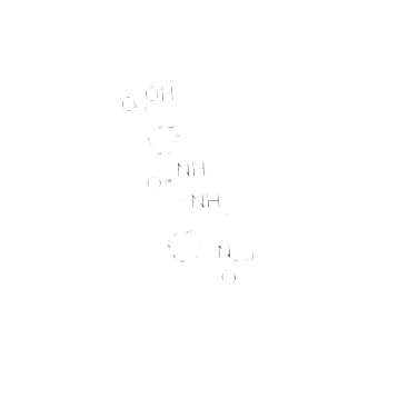 NC(Cc1cccc(N2CCCC2=O)c1)C(=O)Nc1ccc(C(=O)O)cc1